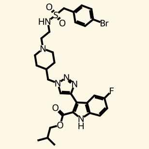 CC(C)COC(=O)c1[nH]c2ccc(F)cc2c1-c1cn(CC2CCN(CCNS(=O)(=O)Cc3ccc(Br)cc3)CC2)nn1